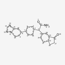 NC(=O)C(c1ccc(-c2ccn3ncnc3c2)cc1)c1ccc2c(c1)C(=O)CC2